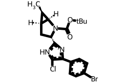 C[C@@H]1[C@@H]2C[C@@H](c3nc(-c4ccc(Br)cc4)c(Cl)[nH]3)N(C(=O)OC(C)(C)C)[C@H]12